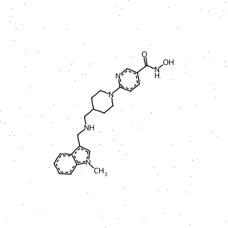 Cn1cc(CNCC2CCN(c3ccc(C(=O)NO)cn3)CC2)c2ccccc21